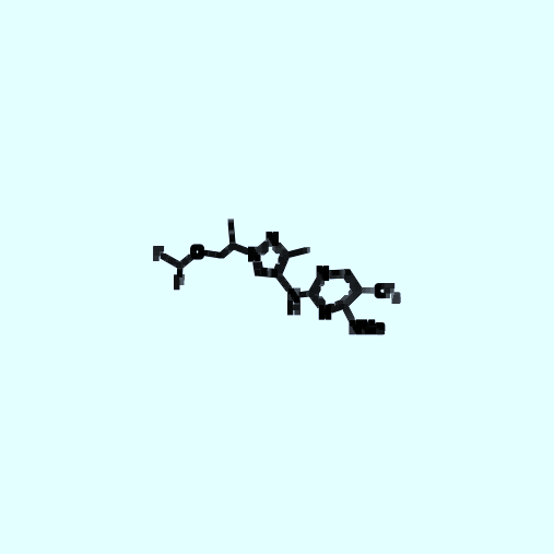 CNc1nc(Nc2cn(C(C)COC(F)F)nc2C)ncc1C(F)(F)F